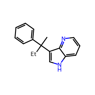 [CH2]CC(C)(c1ccccc1)c1c[nH]c2cccnc12